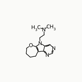 CN(C)CCn1c2c(c3ncncc31)CCCCO2